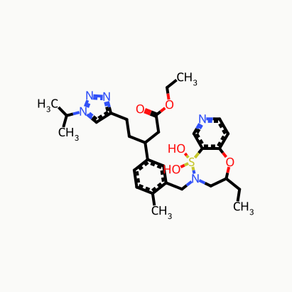 CCOC(=O)CC(CCc1cn(C(C)C)nn1)c1ccc(C)c(CN2CC(CC)Oc3ccncc3S2(O)O)c1